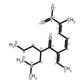 C\C=C(/C=C\C=C(/C)[N+](=O)[O-])C(=O)C(CCC)CN(C)C